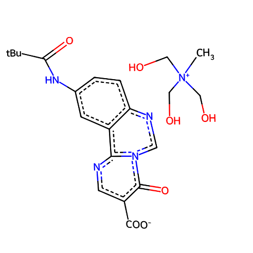 CC(C)(C)C(=O)Nc1ccc2ncn3c(=O)c(C(=O)[O-])cnc3c2c1.C[N+](CO)(CO)CO